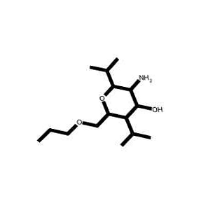 CCCOCC1OC(C(C)C)C(N)C(O)C1C(C)C